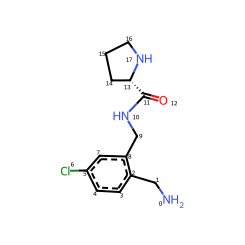 NCc1ccc(Cl)cc1CNC(=O)[C@@H]1CCCN1